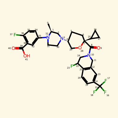 C[C@H]1CN([C@@H]2CC[C@@](C(=O)N3Cc4cc(C(F)(F)F)ccc4C(F)C3)(C3CC3)OC2)CCN1c1ccc(F)c(C(=O)O)c1